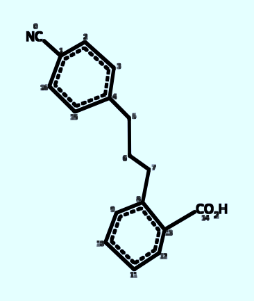 N#Cc1ccc(CCCc2ccccc2C(=O)O)cc1